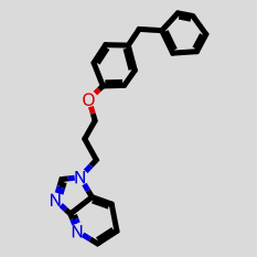 c1ccc(Cc2ccc(OCCCn3cnc4ncccc43)cc2)cc1